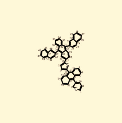 C1=CCCC(c2c3ccccc3c(-c3ccc(-c4ccc5c(-c6ccc7ccccc7c6)c6ccccc6c(-c6ccc7ccccc7c6)c5c4)s3)c3ccccc23)=C1